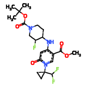 COC(=O)c1cn(C2(C(F)F)CC2)c(=O)cc1NC1CCN(C(=O)OC(C)(C)C)CC1F